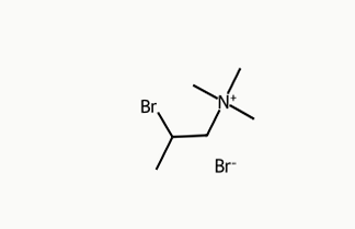 CC(Br)C[N+](C)(C)C.[Br-]